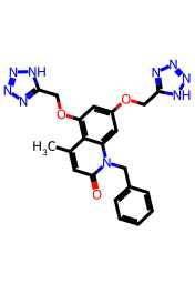 Cc1cc(=O)n(Cc2ccccc2)c2cc(OCc3nnn[nH]3)cc(OCc3nnn[nH]3)c12